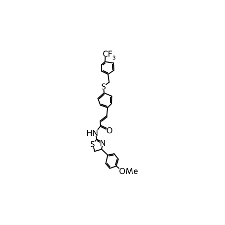 COc1ccc(C2CSC(NC(=O)/C=C/c3ccc(SCc4ccc(C(F)(F)F)cc4)cc3)=N2)cc1